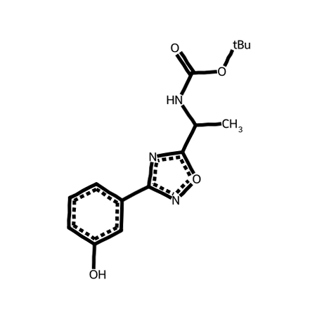 CC(NC(=O)OC(C)(C)C)c1nc(-c2cccc(O)c2)no1